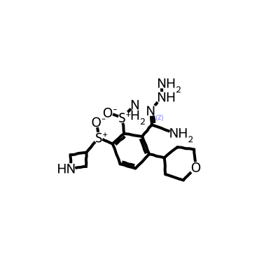 NN/N=C(\N)c1c(C2CCOCC2)ccc([S+]([O-])C2CNC2)c1[S+](N)[O-]